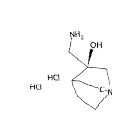 Cl.Cl.NC[C@]1(O)CN2CCC1CC2